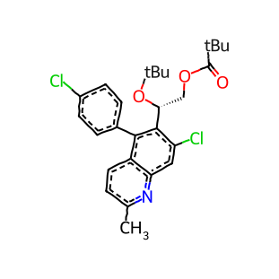 Cc1ccc2c(-c3ccc(Cl)cc3)c([C@@H](COC(=O)C(C)(C)C)OC(C)(C)C)c(Cl)cc2n1